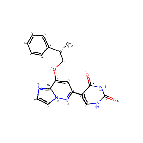 C[C@H](COc1cc(-c2c[nH]c(=O)[nH]c2=O)nn2ccnc12)c1ccccc1